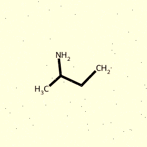 [CH2]CC(C)N